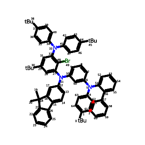 CC(C)(C)c1ccc(N(c2cccc(N(c3ccc4c(c3)C(C)(C)c3ccccc3-4)c3cc(C(C)(C)C)cc(N(c4ccc(C(C)(C)C)cc4)c4ccc(C(C)(C)C)cc4)c3Br)c2)c2ccccc2-c2ccccc2)cc1